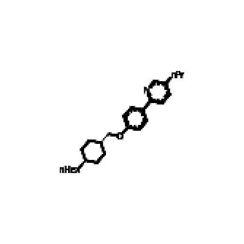 CCCCCC[C@H]1CC[C@H](COc2ccc(-c3ccc(CCC)cn3)cc2)CC1